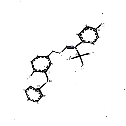 Fc1ccc(CO/C=C(/c2ccc(Cl)cc2)C(F)(F)F)cc1Oc1ccccc1